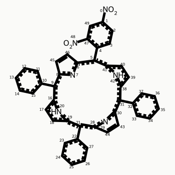 O=[N+]([O-])c1ccc(-c2c3nc(c(-c4ccccc4)c4ccc([nH]4)c(-c4ccccc4)c4nc(c(-c5ccccc5)c5ccc2[nH]5)C=C4)C=C3)c([N+](=O)[O-])c1